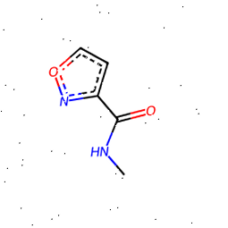 CNC(=O)c1ccon1